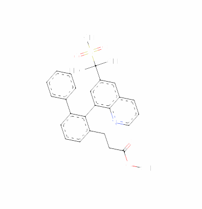 COC(=O)CCc1cccc(-c2ccccc2)c1-c1cc(C(C)(C)S(C)(=O)=O)cc2cccnc12